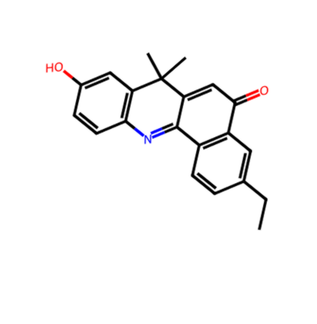 CCc1ccc2c(c1)C(=O)C=C1C2=Nc2ccc(O)cc2C1(C)C